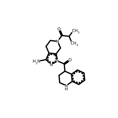 CC(C)C(=O)N1CCc2c(N)nn(C(=O)C3CCNc4ccccc43)c2C1